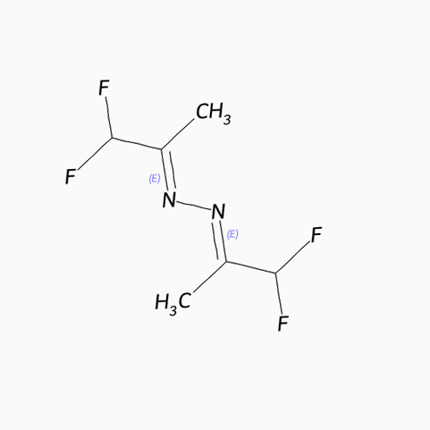 C/C(=N\N=C(/C)C(F)F)C(F)F